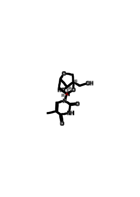 Cc1cn([C@H]2CC3OC[C@](CO)(O2)[C@H]3O)c(=O)[nH]c1=O